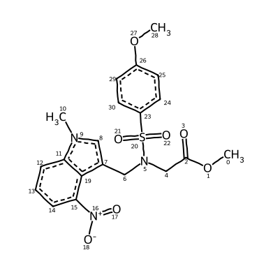 COC(=O)CN(Cc1cn(C)c2cccc([N+](=O)[O-])c12)S(=O)(=O)c1ccc(OC)cc1